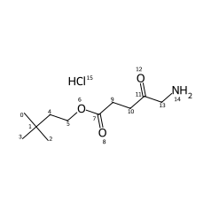 CC(C)(C)CCOC(=O)CCC(=O)CN.Cl